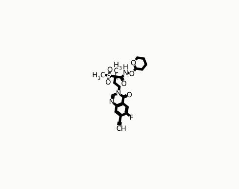 C#Cc1cc2ncn(CC[C@](C)(C(=O)NOC3CCCCO3)S(C)(=O)=O)c(=O)c2cc1F